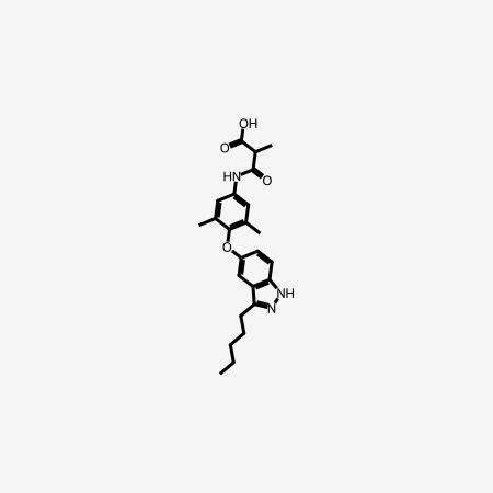 CCCCCc1n[nH]c2ccc(Oc3c(C)cc(NC(=O)C(C)C(=O)O)cc3C)cc12